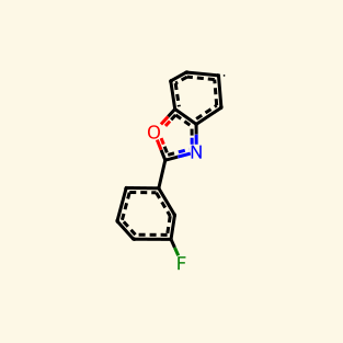 Fc1cccc(-c2nc3c[c]ccc3o2)c1